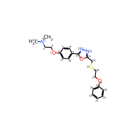 CN(C)CCOc1ccc(-c2nnc(CSCCOc3ccccc3)o2)cc1